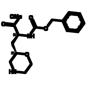 COC(=O)[C@H](C[C@H]1CNCCO1)NC(=O)OCc1ccccc1